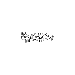 O=C(Nc1ccc(OC(F)(F)F)cc1)N1CCN(c2cc(C(F)(F)F)ccn2)CC1